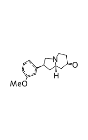 COc1cccc([C@@H]2C[C@H]3CC(=O)CCN3C2)c1